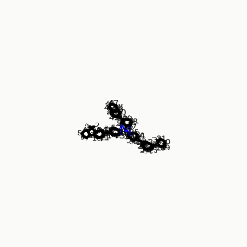 CC1(C)c2ccccc2-c2ccc(-c3ccc(N(c4ccc(-c5cccc(-c6ccccc6)c5)cc4)c4cccc(-c5ccc6ccccc6c5)c4)cc3)cc21